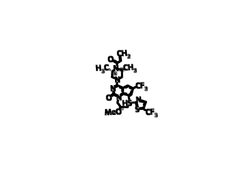 C=CC(=O)N1[C@H](C)CN(c2nc(=O)n3c4c(cc(C(F)(F)F)cc24)[SH](c2ncc(C(F)(F)F)s2)C[C@@H](OC)C3)C[C@@H]1C